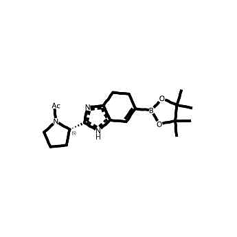 CC(=O)N1CCC[C@H]1c1nc2c([nH]1)C=C(B1OC(C)(C)C(C)(C)O1)CC2